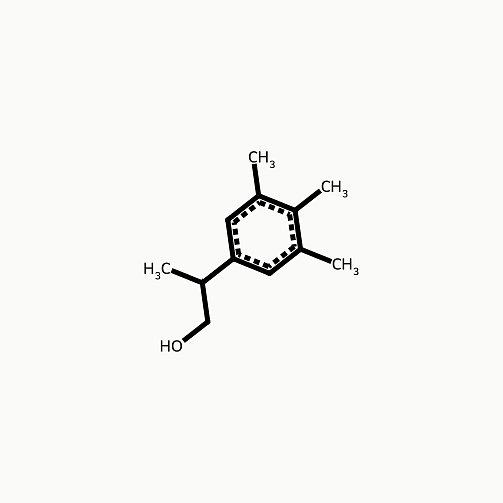 C[C](CO)c1cc(C)c(C)c(C)c1